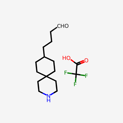 O=C(O)C(F)(F)F.O=CCCCC1CCC2(CCNCC2)CC1